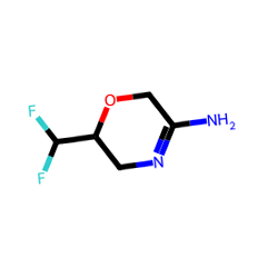 NC1=NCC(C(F)F)OC1